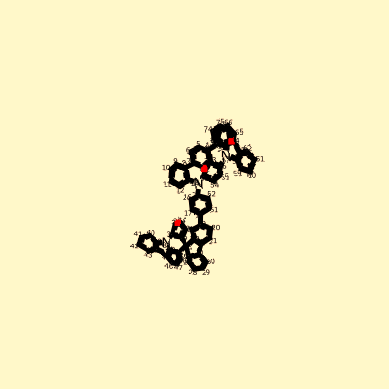 c1ccc(-c2ccc(-c3ccccc3N(c3ccc(-c4ccc5c(c4)C4(c6ccccc6-5)c5ccccc5-n5c6ccccc6c6cccc4c65)cc3)c3ccc(-n4c5ccccc5c5ccccc54)cc3)cc2)cc1